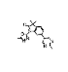 Cc1ncc(-c2ccc3c(c2)N(c2nnc(C)o2)C(=O)C3(C)C)cn1